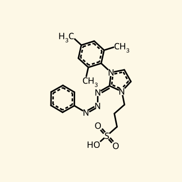 Cc1cc(C)c(-n2ccn(CCCS(=O)(=O)O)c2=NN=Nc2ccccc2)c(C)c1